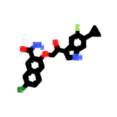 NC(=O)c1cc2cc(Cl)ccc2cc1OCC(=O)c1c[nH]c2cc(C3CC3)c(F)cc12